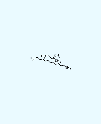 CCCCCCCCCCCCN.CCCN(C)C